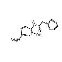 CC(=O)Nc1ccc(NC(=O)C[n+]2ccccc2)c(O)c1